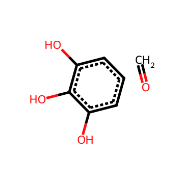 C=O.Oc1cccc(O)c1O